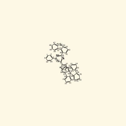 c1ccc(-c2nc(-c3cccc(-c4cccc5c4C4(c6ccccc6-c6ccccc64)c4ccccc4-5)c3)nc(-c3cccc4sc5ccccc5c34)n2)cc1